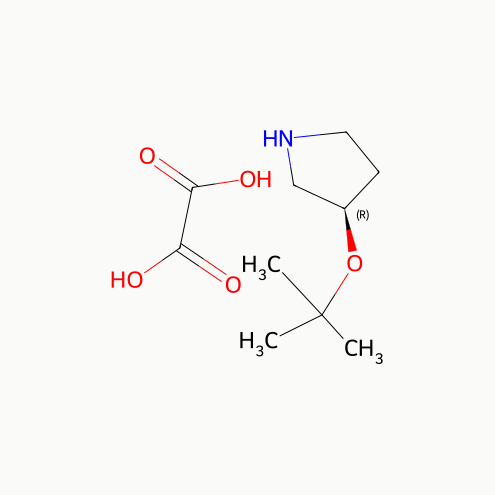 CC(C)(C)O[C@@H]1CCNC1.O=C(O)C(=O)O